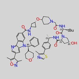 Cc1ncsc1-c1ccc([C@H](C)NC(=O)[C@@H]2C[C@@H](O)CN2C(=O)[C@@H](NC(=O)CN2CCC(O[C@H]3C[C@H](NC(=O)c4ccc5c6ncc(-c7c(C)noc7C)cc6n([C@@H](c6ccccc6)C6CCOCC6)c5c4)C3)CC2)C(C)(C)C)cc1